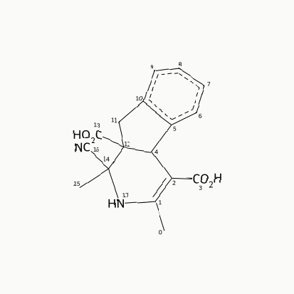 CC1=C(C(=O)O)C2c3ccccc3CC2(C(=O)O)C(C)(C#N)N1